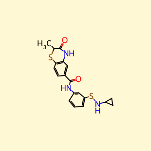 CC1Sc2ccc(C(=O)Nc3cccc(SNC4CC4)c3)cc2NC1=O